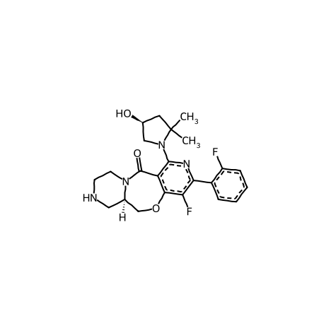 CC1(C)C[C@H](O)CN1c1nc(-c2ccccc2F)c(F)c2c1C(=O)N1CCNC[C@@H]1CO2